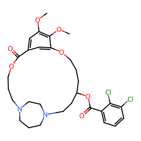 COc1cc2cc(c1OC)OCCCC(OC(=O)c1cccc(Cl)c1Cl)CCN1CCCN(CCCOC2=O)CC1